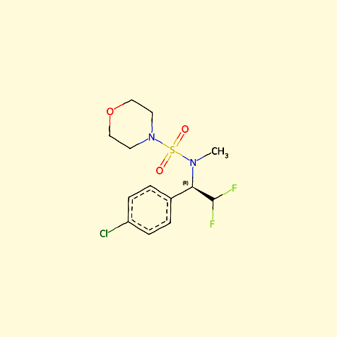 CN([C@H](c1ccc(Cl)cc1)C(F)F)S(=O)(=O)N1CCOCC1